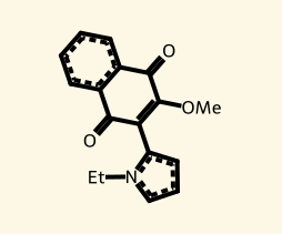 CCn1cccc1C1=C(OC)C(=O)c2ccccc2C1=O